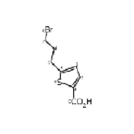 O=C(O)c1ccc(CCCBr)s1